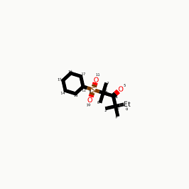 CCC(C)(C)C(=O)C(C)(C)S(=O)(=O)C1CCCCC1